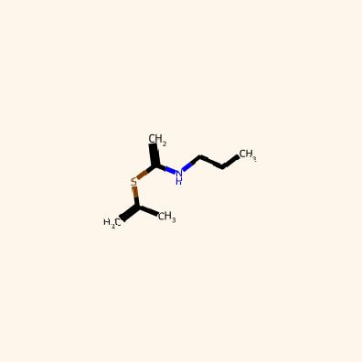 C=C(C)SC(=C)NCCC